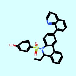 CCC1c2ccccc2-c2cc(-c3cccc4cccnc34)ccc2N1S(=O)(=O)c1ccc(O)cc1